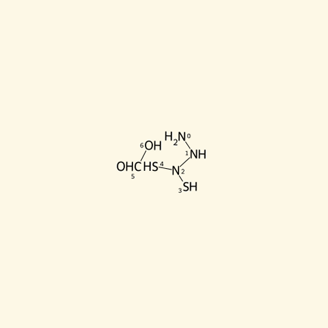 NNN(S)S.O=CO